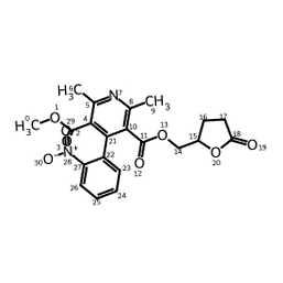 COC(=O)c1c(C)nc(C)c(C(=O)OCC2CCC(=O)O2)c1-c1ccccc1[N+](=O)[O-]